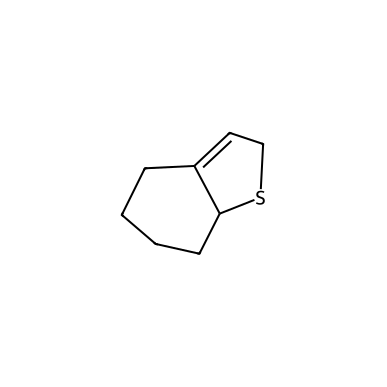 C1=C2CCCCC2SC1